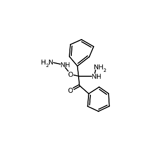 NNOC(NN)(C(=O)c1ccccc1)c1ccccc1